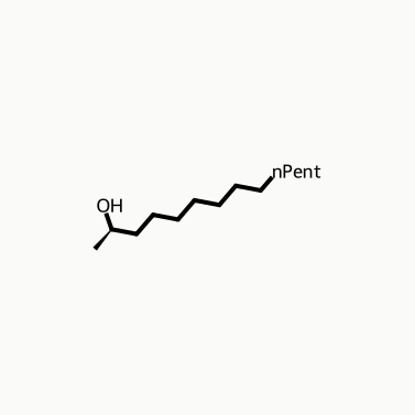 CCCCCCCCCCCC[C@@H](C)O